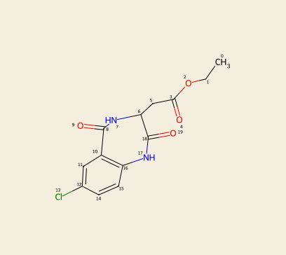 CCOC(=O)CC1NC(=O)c2cc(Cl)ccc2NC1=O